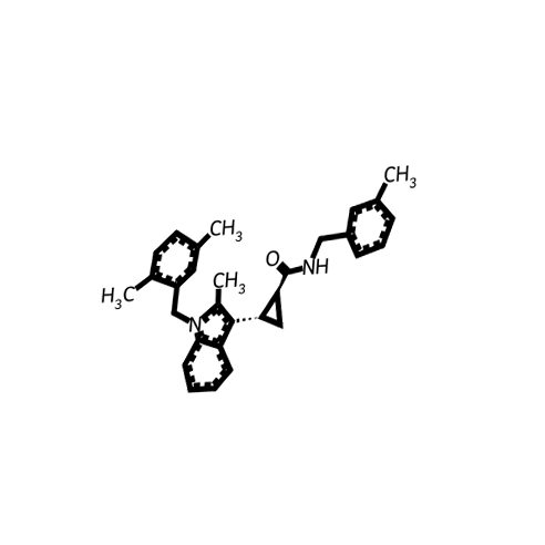 Cc1cccc(CNC(=O)[C@H]2C[C@@H]2c2c(C)n(Cc3cc(C)ccc3C)c3ccccc23)c1